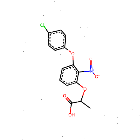 CC(Oc1cccc(Oc2ccc(Cl)cc2)c1[N+](=O)[O-])C(=O)O